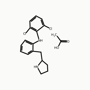 CC(=O)O.Clc1cccc(Cl)c1Nc1ccccc1CC1CCCN1